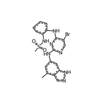 Cc1cc(Nc2ncc(Br)c(Nc3ccccc3NS(C)(=O)=O)n2)cc2[nH]ncc12